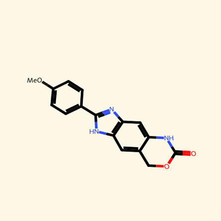 COc1ccc(-c2nc3cc4c(cc3[nH]2)COC(=O)N4)cc1